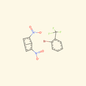 FC(F)(F)c1ccccc1Br.O=[N+]([O-])c1cc2cc([N+](=O)[O-])c1-2